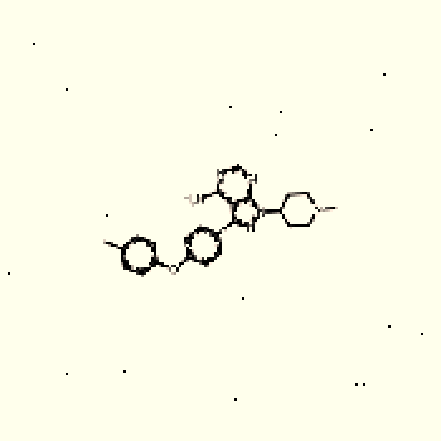 Cc1ccc(Oc2ccc(-c3nn(C4CCN(C)CC4)c4ncnc(N)c34)cc2)cc1